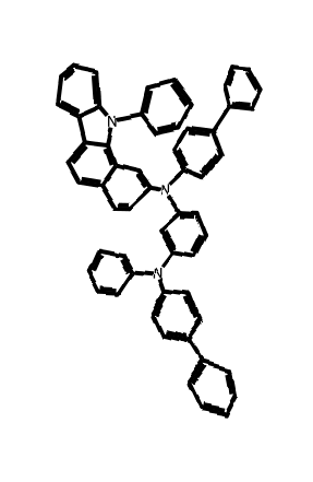 c1ccc(-c2ccc(N(c3ccccc3)c3cccc(N(c4ccc(-c5ccccc5)cc4)c4ccc5ccc6c7ccccc7n(-c7ccccc7)c6c5c4)c3)cc2)cc1